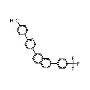 Cc1ccc(-c2ccc(-c3ccc4ccc(-c5ccc(C(F)(F)F)cc5)cc4c3)cn2)cc1